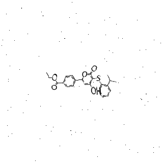 CCOC(=O)c1ccc(-c2cc(O)c(Sc3ccccc3C(C)C)c(=O)o2)cc1